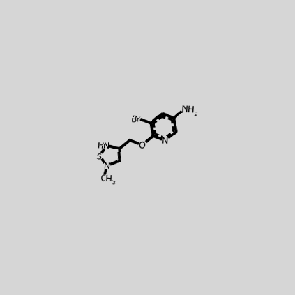 CN1CC(COc2ncc(N)cc2Br)NS1